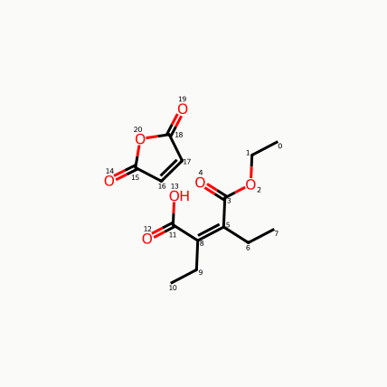 CCOC(=O)/C(CC)=C(/CC)C(=O)O.O=C1C=CC(=O)O1